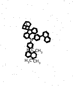 CC1(C)CCC(C)(C)c2c(-c3ccc(N(c4ccc(-c5cccc6ccccc56)cc4)c4cccc5c4-c4ccccc4C54C5CC6CC7CC4C75C6)cc3)cccc21